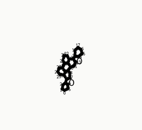 c1ccc2c(c1)oc1cc3c4cc5oc6ccccc6c5c5cccc(c6cccc(c12)c63)c45